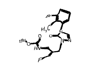 Cc1c(Br)cccc1-n1cnn(C/C(=C/F)CNC(=O)OC(C)(C)C)c1=O